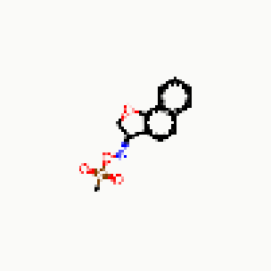 CS(=O)(=O)O/N=C1\COc2c1ccc1ccccc21